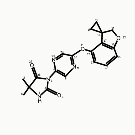 CC1(C)NC(=O)N(c2cnc(Oc3cccc4c3C3(CC3)CO4)cn2)C1=O